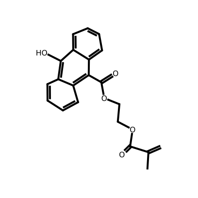 C=C(C)C(=O)OCCOC(=O)c1c2ccccc2c(O)c2ccccc12